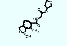 Cc1c(C(=O)NCC(=O)OC2CCOC2)ccc2c1B(O)OC2